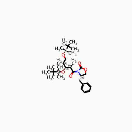 C[C@H](CO[Si](C)(C)C(C)(C)C)[C@@H](O[Si](C)(C)C(C)(C)C)[C@@H](C)C(=O)N1C(=O)OC[C@@H]1Cc1ccccc1